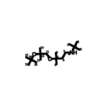 CC(C)(C)NCCC(C)(C)OCC(C)(C)OC(C)(C)C